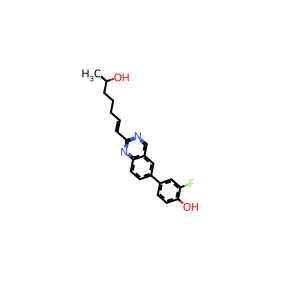 CC(O)CCC/C=C/c1ncc2cc(-c3ccc(O)c(F)c3)ccc2n1